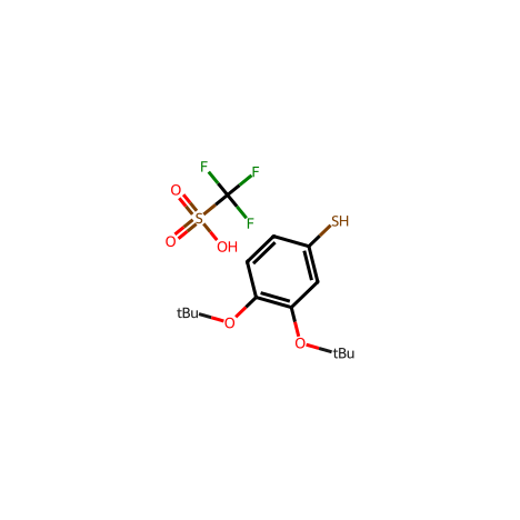 CC(C)(C)Oc1ccc(S)cc1OC(C)(C)C.O=S(=O)(O)C(F)(F)F